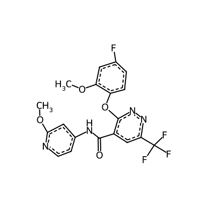 COc1cc(NC(=O)c2cc(C(F)(F)F)nnc2Oc2ccc(F)cc2OC)ccn1